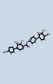 CCCc1ccc(-c2ccc(C(=O)Oc3ccc(-c4ccc(CC)c(F)c4F)cc3)c(F)c2F)cc1